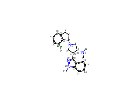 CN(C)[C@H]1CN(C2CCc3cccc(F)c32)C[C@@H]1c1nn(C)c2ccccc12